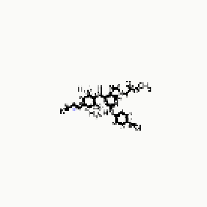 COC(=O)Cn1cnc2c(Nc3c(C)cc(/C=C/C#N)cc3OC)nc(Nc3ccc(C#N)cc3)nc21